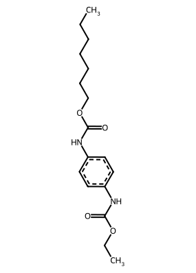 CCCCCCCOC(=O)Nc1ccc(NC(=O)OCC)cc1